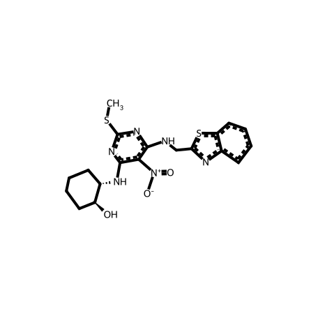 CSc1nc(NCc2nc3ccccc3s2)c([N+](=O)[O-])c(N[C@H]2CCCC[C@@H]2O)n1